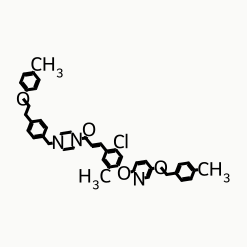 Cc1ccc(COc2ccc(Oc3cc(Cl)c(C=CC(=O)N4CCN(Cc5ccc(CCOc6ccc(C)cc6)cc5)CC4)cc3C)nc2)cc1